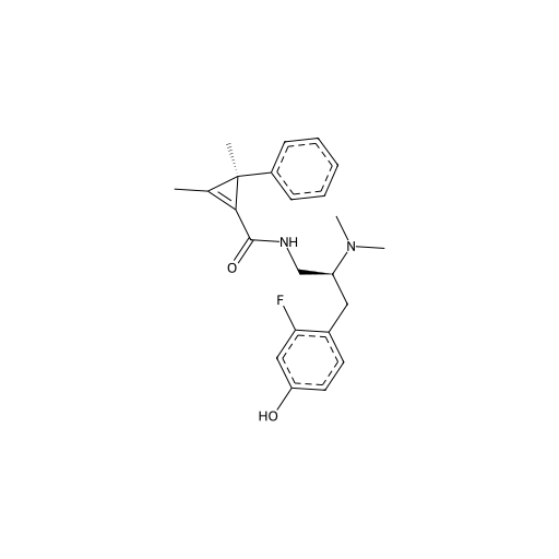 CC1=C(C(=O)NC[C@H](Cc2ccc(O)cc2F)N(C)C)[C@]1(C)c1ccccc1